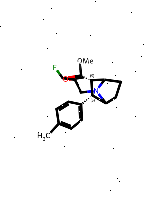 COC(=O)[C@@H]1C2CCC([C@@H]1c1ccc(C)cc1)N2CCCF